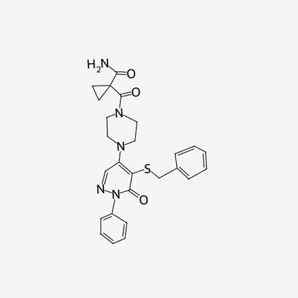 NC(=O)C1(C(=O)N2CCN(c3cnn(-c4ccccc4)c(=O)c3SCc3ccccc3)CC2)CC1